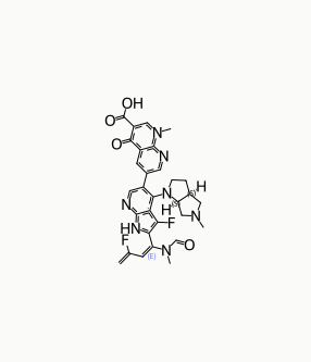 C=C(F)/C=C(\c1[nH]c2ncc(-c3cnc4c(c3)c(=O)c(C(=O)O)cn4C)c(N3CC[C@H]4CN(C)C[C@H]43)c2c1F)N(C)C=O